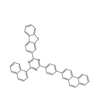 c1ccc2c(-c3nc(-c4ccc(-c5ccc6c(ccc7ccccc76)c5)cc4)nc(-c4ccc5c(c4)sc4ccccc45)n3)cccc2c1